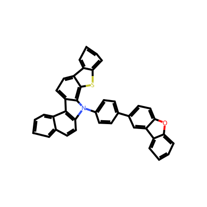 c1ccc2c(c1)ccc1c2c2ccc3c4ccccc4sc3c2n1-c1ccc(-c2ccc3oc4ccccc4c3c2)cc1